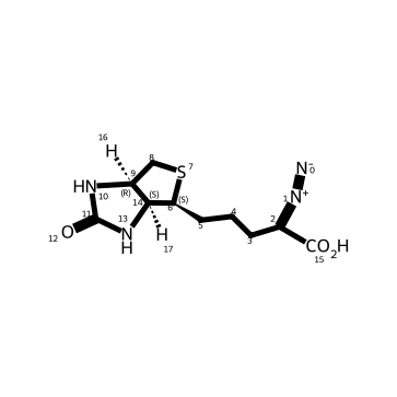 [N-]=[N+]=C(CCC[C@@H]1SC[C@@H]2NC(=O)N[C@@H]21)C(=O)O